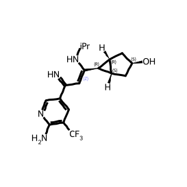 CC(C)N/C(=C\C(=N)c1cnc(N)c(C(F)(F)F)c1)[C@H]1[C@@H]2C[C@@H](O)C[C@@H]21